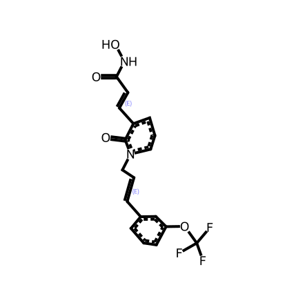 O=C(/C=C/c1cccn(C/C=C/c2cccc(OC(F)(F)F)c2)c1=O)NO